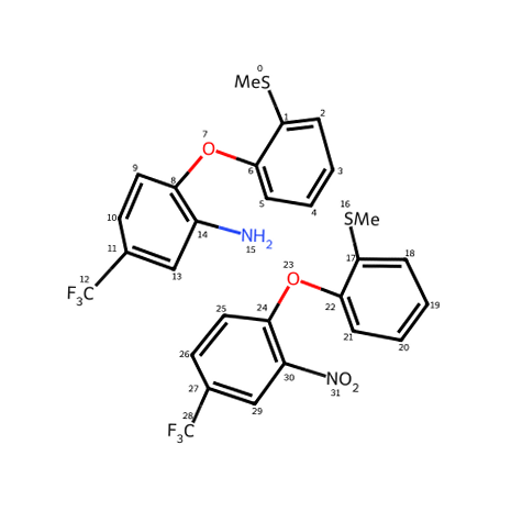 CSc1ccccc1Oc1ccc(C(F)(F)F)cc1N.CSc1ccccc1Oc1ccc(C(F)(F)F)cc1[N+](=O)[O-]